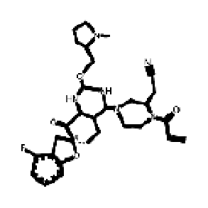 C=CC(=O)N1CCN(C2NC(OCC3CCCN3C)NC3C(=O)[C@]4(CCC32)Cc2c(F)cccc2O4)CC1CC#N